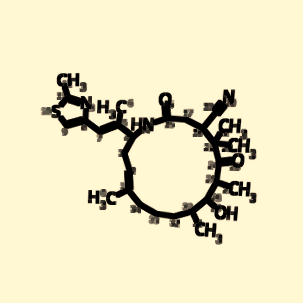 C/C1=C\CC(/C(C)=C/c2csc(C)n2)NC(=O)CC(C#N)C(C)(C)C(=O)C(C)C(O)C(C)CCC1